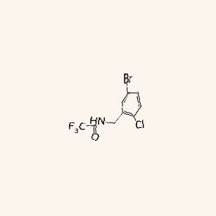 O=C(NCc1cc(Br)ccc1Cl)C(F)(F)F